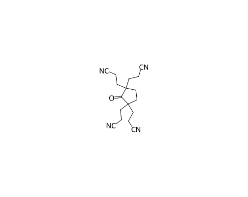 N#CCCC1(CCC#N)CCC(CCC#N)(CCC#N)C1=O